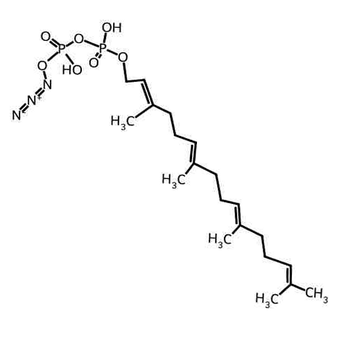 CC(C)=CCC/C(C)=C/CC/C(C)=C/CC/C(C)=C/COP(=O)(O)OP(=O)(O)ON=[N+]=[N-]